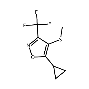 CSc1c(C(F)(F)F)noc1C1CC1